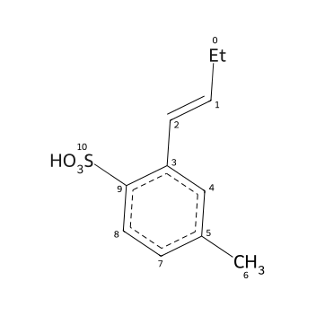 CCC=Cc1cc(C)ccc1S(=O)(=O)O